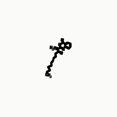 CCCCCCCCCCC(=O)N(C)c1nc2ccccc2c(=O)o1